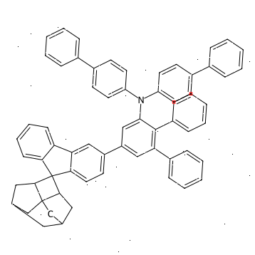 c1ccc(-c2ccc(N(c3ccc(-c4ccccc4)cc3)c3cc(-c4ccc5c(c4)-c4ccccc4C54C5CC6CC7CC4C5(C6)C7)cc(-c4ccccc4)c3-c3ccccc3)cc2)cc1